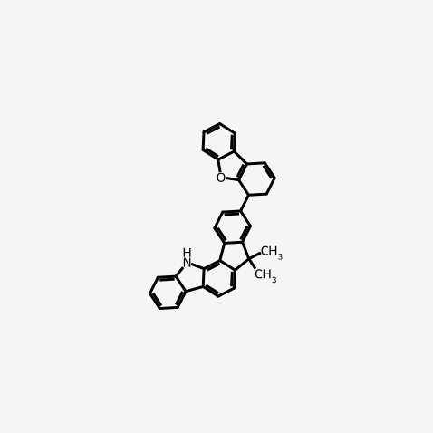 CC1(C)c2cc(C3CC=Cc4c3oc3ccccc43)ccc2-c2c1ccc1c2[nH]c2ccccc21